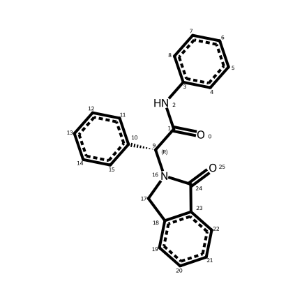 O=C(Nc1ccccc1)[C@@H](c1ccccc1)N1Cc2ccccc2C1=O